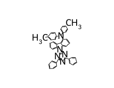 Cc1ccc(N(c2ccc(C)cc2)c2cccc3c2c2ccccc2n3-c2nc(-c3ccccc3)nc(-c3ccccc3)n2)cc1